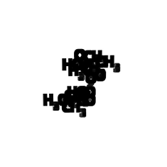 CCC(C)(CC(C)(C)C(=O)O)C(=O)OCCOP(=O)(O)OCC[N+](C)(C)C